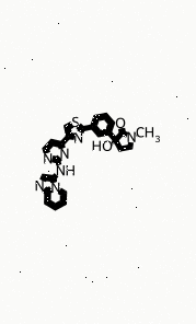 CN1CC[C@@](O)(c2cccc(-c3nc(-c4ccnc(Nc5cnc6ccccn56)n4)cs3)c2)C1=O